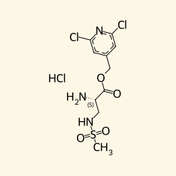 CS(=O)(=O)NC[C@H](N)C(=O)OCc1cc(Cl)nc(Cl)c1.Cl